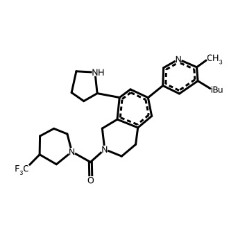 CCC(C)c1cc(-c2cc3c(c(C4CCCN4)c2)CN(C(=O)N2CCCC(C(F)(F)F)C2)CC3)cnc1C